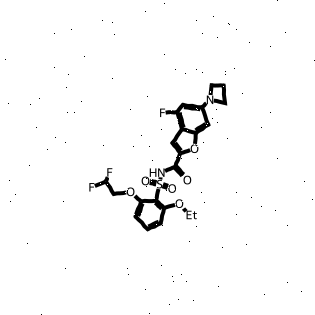 CCOc1cccc(OCC(F)F)c1S(=O)(=O)NC(=O)c1cc2c(F)cc(N3CCC3)cc2o1